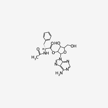 CC(=O)N[C@H](Cc1ccccc1)C(=O)OC1C(O)C(CO)OC1n1cnc2c(N)ncnc21